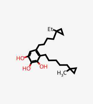 CCC1(CCCCc2cc(O)c(O)c(O)c2CCCCCC2(C)CC2)CC1